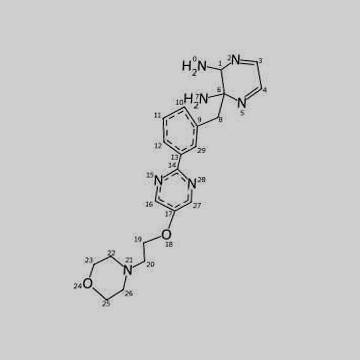 NC1N=CC=NC1(N)Cc1cccc(-c2ncc(OCCN3CCOCC3)cn2)c1